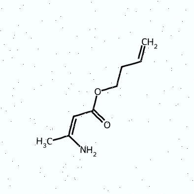 C=CCCOC(=O)C=C(C)N